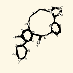 O=C1Nc2cccc(n2)-c2nncn2CCCCOc2cc(F)c(C3=CCOCC3)cc21